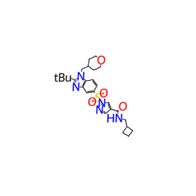 CC(C)(C)c1nc2cc(S(=O)(=O)n3cc(C(=O)NCC4CCC4)cn3)ccc2n1CC1CCOCC1